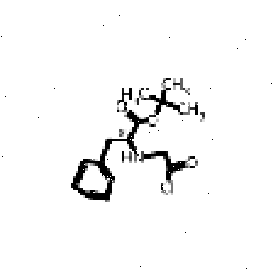 CC(C)(C)OC(=O)[C@H](Cc1ccccc1)NCC(=O)Cl